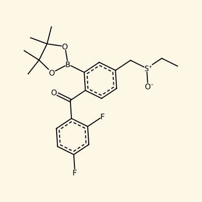 CC[S+]([O-])Cc1ccc(C(=O)c2ccc(F)cc2F)c(B2OC(C)(C)C(C)(C)O2)c1